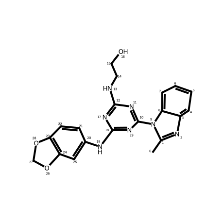 Cc1nc2ccccc2n1-c1nc(NCCO)nc(Nc2ccc3c(c2)OCO3)n1